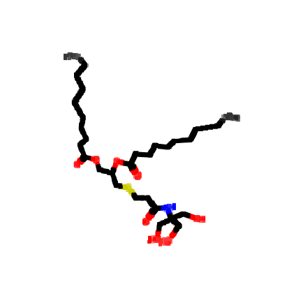 CCCCCCCCCCCCCCCCCCC(=O)OCC(CSCCC(=O)NC(CO)(CO)CO)OC(=O)CCCCCCCCCCCCCCCCCC